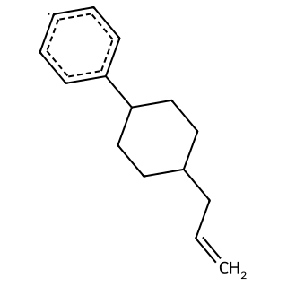 C=CCC1CCC(c2cc[c]cc2)CC1